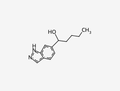 CCCCC(O)c1ccc2cn[nH]c2c1